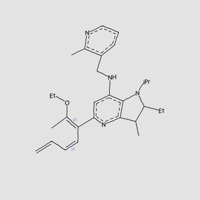 C=C/C=C\C(=C(/C)OCC)c1cc(NCc2cccnc2C)c2c(n1)C(C)C(CC)N2C(C)C